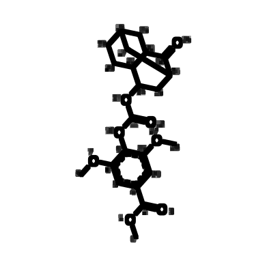 COC(=O)c1cc(OC)c(OC(=O)OC2CC3CC4CCC2C(C4)C3=O)c(OC)c1